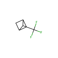 FC(F)(F)C1C2CC1C2